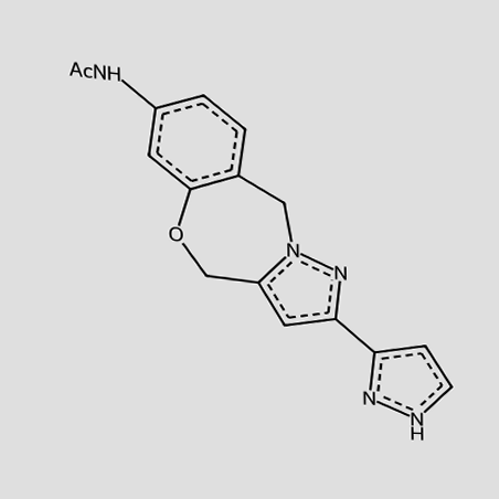 CC(=O)Nc1ccc2c(c1)OCc1cc(-c3cc[nH]n3)nn1C2